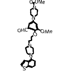 COC(=O)N1CCN(c2cc(C=O)c(OCCCN3CCN(c4cccc5sccc45)CC3)c(OC)c2)CC1